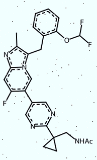 CC(=O)NCC1(c2ncc(-c3cn4c(Cc5ccccc5OC(F)F)c(C)nc4cc3F)cn2)CC1